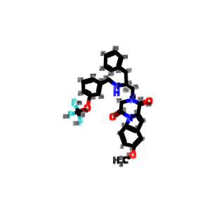 COc1ccc2c(c1)cc1n2C(=O)CN(C[C@H](Cc2ccccc2)NCc2cccc(OC(F)(F)F)c2)C1=O